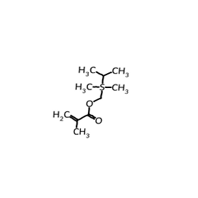 C=C(C)C(=O)OCS(C)(C)C(C)C